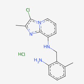 Cc1cccc(N)c1CNc1cccn2c(Cl)c(C)nc12.Cl